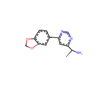 CC(N)c1cc(-c2ccc3c(c2)OCO3)ncn1